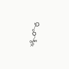 CC(C)(C)OC(=O)NCCc1ccc(OCCc2ccccn2)cc1